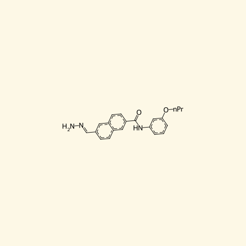 CCCOc1cccc(NC(=O)c2ccc3cc(C=NN)ccc3c2)c1